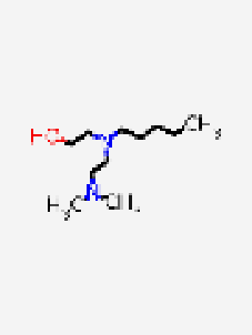 CCCCCN(CCO)CCN(C)C